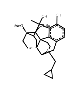 CO[C@]12CC[C@@]3(CC1[C@](C)(O)C(C)(C)C)C1Cc4ccc(O)c5c4C3(CCN1CC1CC1)C2O5